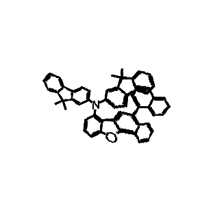 CC1(C)c2ccccc2-c2ccc(N(c3ccc4c(c3)C(C)(C)c3ccccc3-4)c3cccc4oc5c6ccccc6c(-c6cccc7ccccc67)cc5c34)cc21